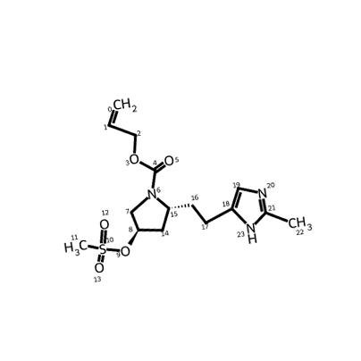 C=CCOC(=O)N1C[C@H](OS(C)(=O)=O)C[C@H]1CCc1cnc(C)[nH]1